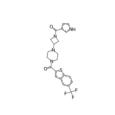 O=C(c1cc[nH]c1)N1CC(N2CCN(C(=O)c3cc4cc(C(F)(F)F)ccc4s3)CC2)C1